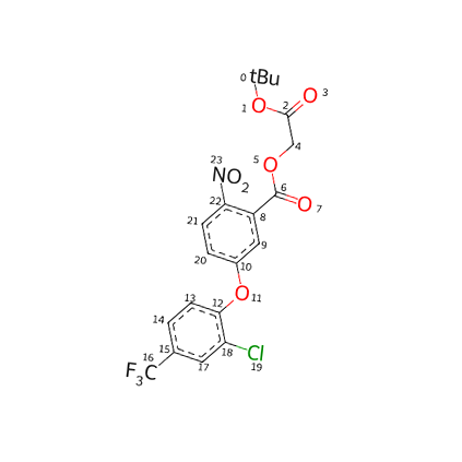 CC(C)(C)OC(=O)COC(=O)c1cc(Oc2ccc(C(F)(F)F)cc2Cl)ccc1[N+](=O)[O-]